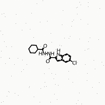 O=C(NNC(=O)C1CCCCC1)c1cc2cc(Cl)ccc2[nH]1